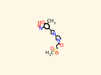 Cc1cc(C2CN(C3CCN(C(=O)CCS(C)(=O)=O)C3)C2)cc(N=O)c1O